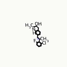 C/C(=C\c1ccc2c(c1)NC(C)C(O)C2)c1c(F)cccc1Cl